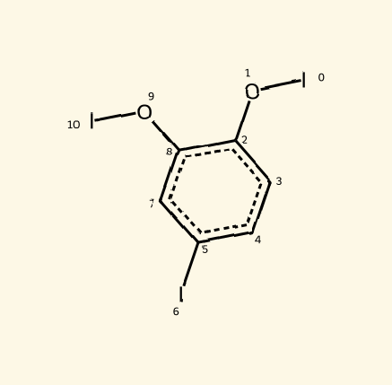 IOc1ccc(I)cc1OI